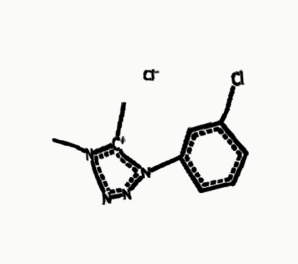 C[c+]1n(C)nnn1-c1cccc(Cl)c1.[Cl-]